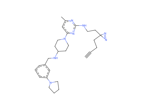 C#CCCC1(CCNc2nc(C)cc(N3CCC(NCc4cccc(N5CCCC5)c4)CC3)n2)N=N1